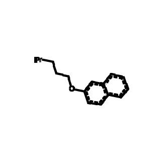 CC(C)CCCOc1ccc2ccccc2c1